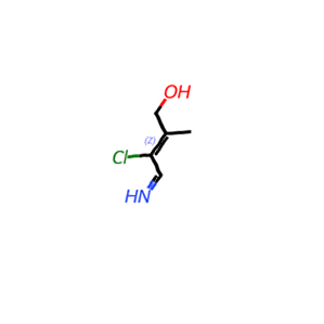 C/C(CO)=C(/Cl)C=N